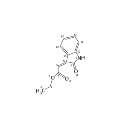 CCOC(=O)C=C1C(=O)Nc2ccccc21